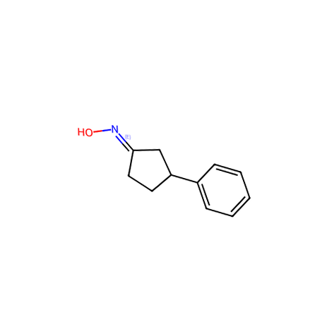 O/N=C1\CCC(c2ccccc2)C1